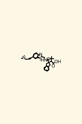 CN(C)CC#Cc1ccc2nc(CNC(=O)C3(C(C(=O)O)C(C)(C)C)Cc4ccccc4C3)sc2c1